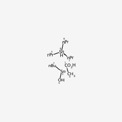 CC(=O)O.CCC[CH2][Sn][OH].CC[CH2][SnH]([CH2]CC)[CH2]CC